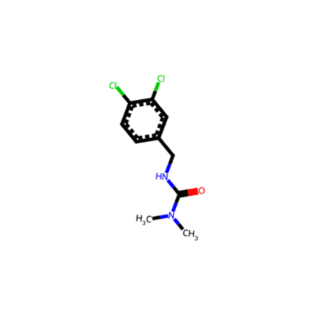 CN(C)C(=O)NCc1ccc(Cl)c(Cl)c1